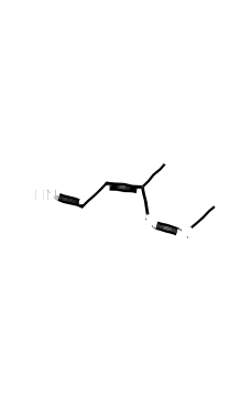 C/N=N\C(C)=C/C=N